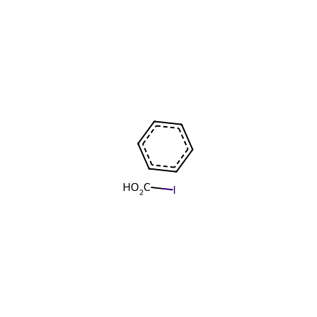 O=C(O)I.c1ccccc1